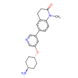 CN1C(=O)CCc2cc(-c3cncc(O[C@H]4CC[C@H](N)CC4)c3)ccc21